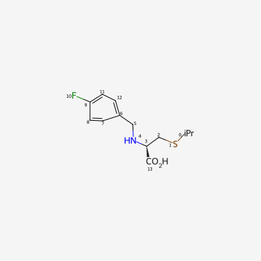 CC(C)SC[C@H](NCc1ccc(F)cc1)C(=O)O